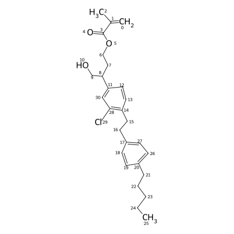 C=C(C)C(=O)OCCC(CO)c1ccc(CCc2ccc(CCCCC)cc2)c(Cl)c1